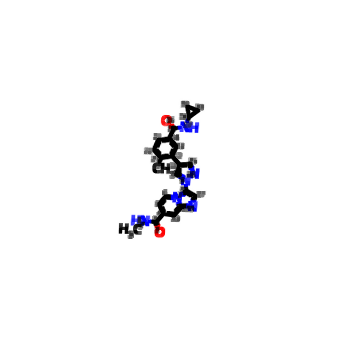 CNC(=O)c1ccn2c(-n3cc(-c4cc(C(=O)NC5CC5)ccc4C)cn3)cnc2c1